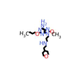 CCCCOc1nc(N)c2nc(OC)n(CCCNCCC3CCOCC3)c2n1